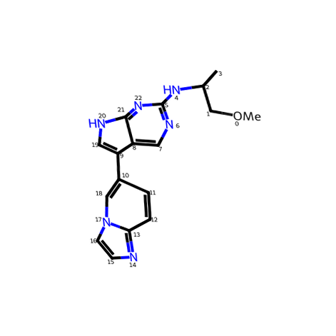 COCC(C)Nc1ncc2c(-c3ccc4nccn4c3)c[nH]c2n1